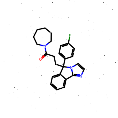 O=C(CCC1(c2ccc(F)cc2)c2ccccc2-c2nccn21)N1CCCCCC1